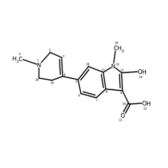 CN1CC=C(c2ccc3c(C(=O)O)c(O)n(C)c3c2)CC1